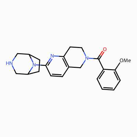 COc1ccccc1C(=O)N1CCc2nc(N3C4CCC3CNC4)ccc2C1